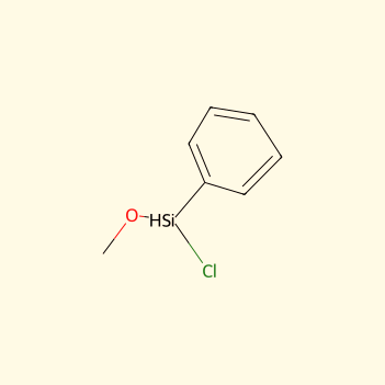 CO[SiH](Cl)c1ccccc1